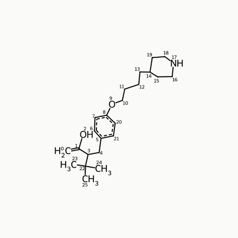 C=C(O)C(Cc1ccc(OCCCCC2CCNCC2)cc1)C(C)(C)C